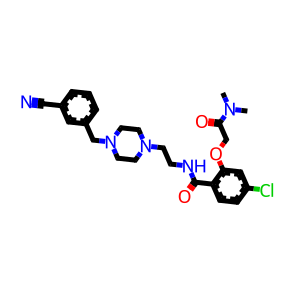 CN(C)C(=O)COc1cc(Cl)ccc1C(=O)NCCN1CCN(Cc2cccc(C#N)c2)CC1